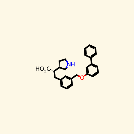 O=C(O)[C@@H](Cc1cccc(COc2cccc(-c3ccccc3)c2)c1)[C@H]1CCNC1